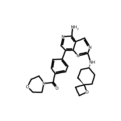 Nc1ncc(-c2ccc(C(=O)N3CCOCC3)cc2)c2nc(N[C@H]3CC[C@@]4(CCO4)CC3)ncc12